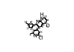 Cc1cc(-c2cc3c(=O)cc[nH]c3nc2-c2ccc(C)s2)cc(Cl)n1